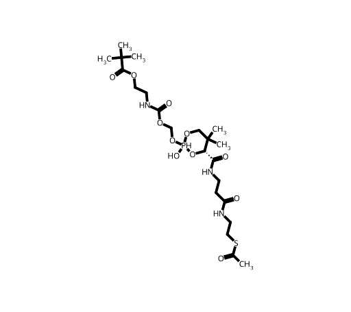 CC(=O)SCCNC(=O)CCNC(=O)[C@@H]1O[PH](O)(OCOC(=O)NCCOC(=O)C(C)(C)C)OCC1(C)C